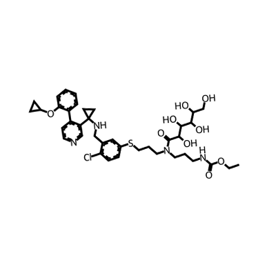 CCOC(=O)NCCCN(CCCSc1ccc(Cl)c(CNC2(c3cnccc3-c3ccccc3OC3CC3)CC2)c1)C(=O)C(O)C(O)C(O)C(O)CO